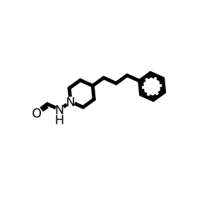 O=CNN1CCC(CCCc2ccccc2)CC1